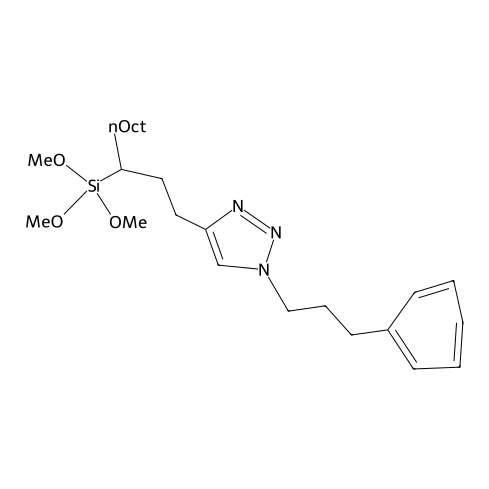 CCCCCCCCC(CCc1cn(CCCc2ccccc2)nn1)[Si](OC)(OC)OC